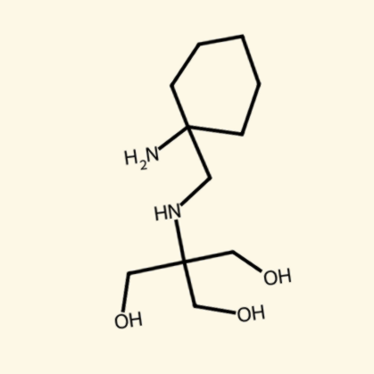 NC1(CNC(CO)(CO)CO)CCCCC1